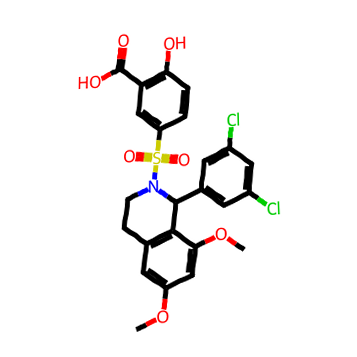 COc1cc2c(c(OC)c1)C(c1cc(Cl)cc(Cl)c1)N(S(=O)(=O)c1ccc(O)c(C(=O)O)c1)CC2